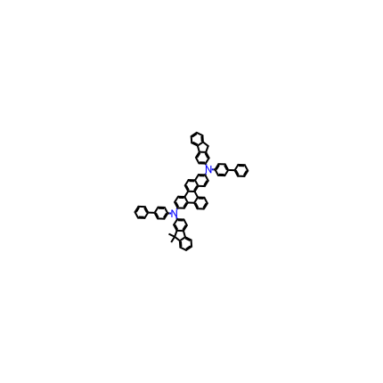 CC1(C)c2ccccc2-c2ccc(N(c3ccc(-c4ccccc4)cc3)c3ccc4c(c3)c3ccccc3c3c5ccc(N(c6ccc(-c7ccccc7)cc6)c6ccc7c(c6)Cc6ccccc6-7)cc5ccc43)cc21